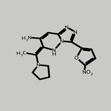 CC(=C1Nn2c(nnc2-c2ccc([N+](=O)[O-])o2)C=C1N)N1CCCC1